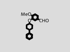 COc1ccc(C=O)cc1OC1CCC(c2ccccc2)CC1